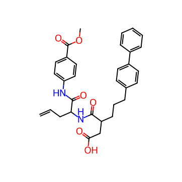 C=CCC(NC(=O)C(CCCc1ccc(-c2ccccc2)cc1)CC(=O)O)C(=O)Nc1ccc(C(=O)OC)cc1